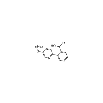 CCCCCCOc1ccc(-c2ccccc2C(O)CC)nc1